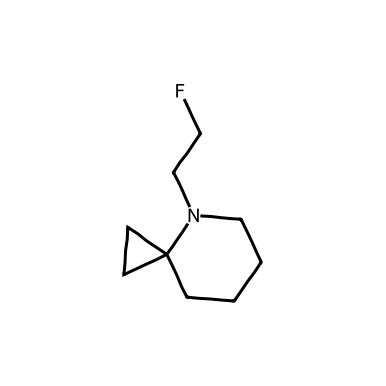 FCCN1CCCCC12CC2